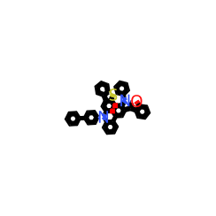 c1ccc(-c2ccc(N(c3ccc4sc5ccccc5c4c3)c3ccccc3-c3ccc4c(c3)c3c5ccccc5oc3n4-c3ccccc3)cc2)cc1